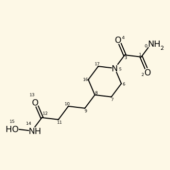 NC(=O)C(=O)N1CCC(CCCC(=O)NO)CC1